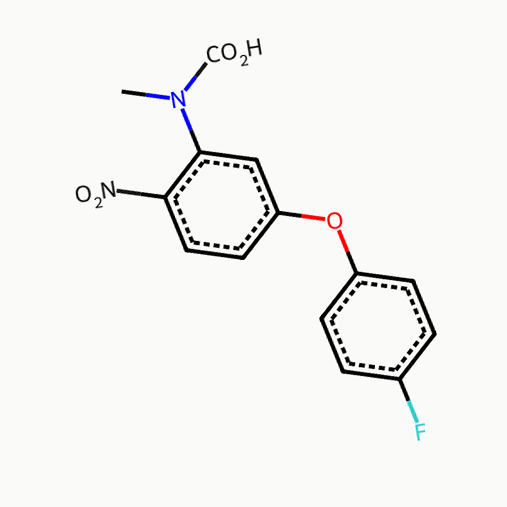 CN(C(=O)O)c1cc(Oc2ccc(F)cc2)ccc1[N+](=O)[O-]